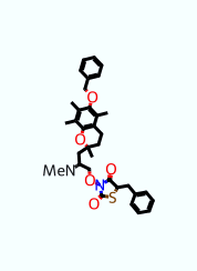 CNC(CON1C(=O)SC(Cc2ccccc2)C1=O)CC1(C)CCc2c(C)c(OCc3ccccc3)c(C)c(C)c2O1